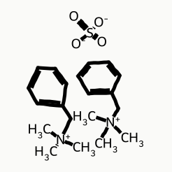 C[N+](C)(C)Cc1ccccc1.C[N+](C)(C)Cc1ccccc1.O=S(=O)([O-])[O-]